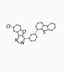 Clc1ccc2oc3c(-c4cccc(-c5cccc6c5sc5ccccc56)c4)ncnc3c2c1